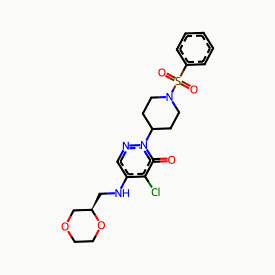 O=c1c(Cl)c(NC[C@@H]2COCCO2)cnn1C1CCN(S(=O)(=O)c2ccccc2)CC1